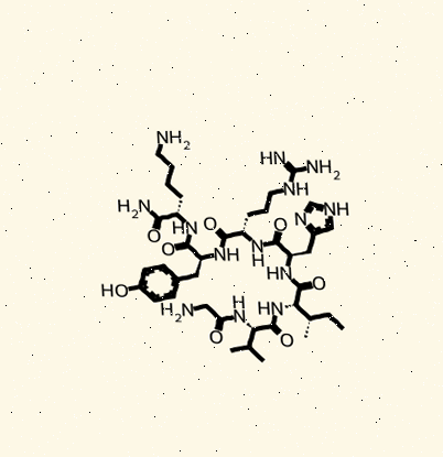 CC[C@H](C)[C@H](NC(=O)[C@@H](NC(=O)CN)C(C)C)C(=O)N[C@H](Cc1c[nH]cn1)C(=O)N[C@@H](CCCNC(=N)N)C(=O)N[C@@H](Cc1ccc(O)cc1)C(=O)N[C@@H](CCCCN)C(N)=O